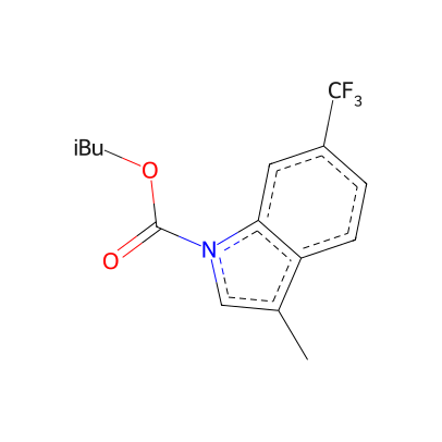 CCC(C)OC(=O)n1cc(C)c2ccc(C(F)(F)F)cc21